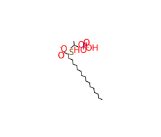 CCCCCCCCCCCCCCCCC(SCC(C)COP(=O)(O)O)C(=O)OC